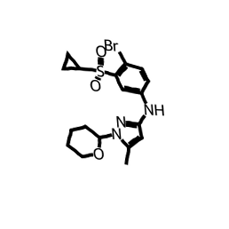 Cc1cc(Nc2ccc(Br)c(S(=O)(=O)C3CC3)c2)nn1C1CCCCO1